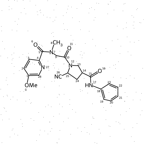 COc1ccc(C(=O)N(C)CC(=O)N2CC(C(=O)Nc3ccccc3)CC2C#N)nc1